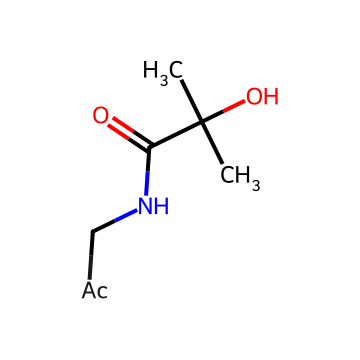 CC(=O)CNC(=O)C(C)(C)O